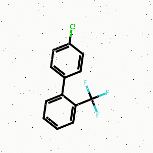 FC(F)(F)c1ccccc1-c1c[c]c(Cl)cc1